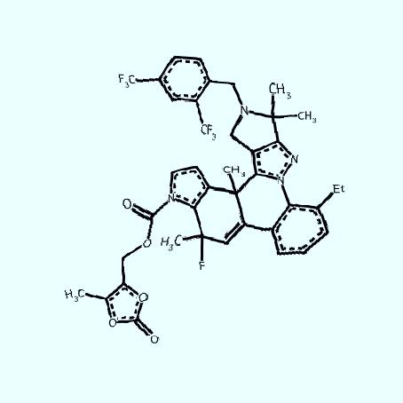 CCc1cccc2c1-n1nc3c(c1C1(C)C2=CC(C)(F)c2c1ccn2C(=O)OCc1oc(=O)oc1C)CN(Cc1ccc(C(F)(F)F)cc1C(F)(F)F)C3(C)C